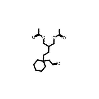 CC(=O)OCC(CCC1(CC=O)CCCCC1)COC(C)=O